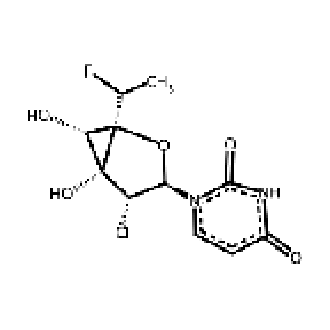 CC(F)[C@]12O[C@@H](n3ccc(=O)[nH]c3=O)[C@H](Cl)[C@@]1(O)[C@@H]2O